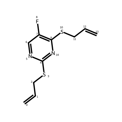 C=CCSc1ncc(F)c(SCC=C)n1